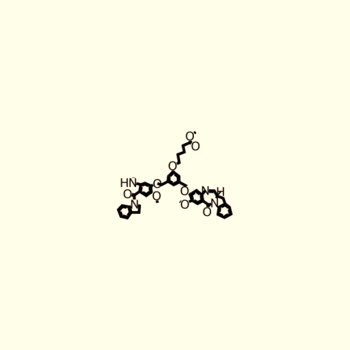 CNc1cc(OCc2cc(COc3cc4c(cc3OC)C(=O)N3c5ccccc5C[C@H]3C=N4)cc(OCCCCC(=O)OC)c2)c(OC)cc1C(=O)N1CCc2ccccc21